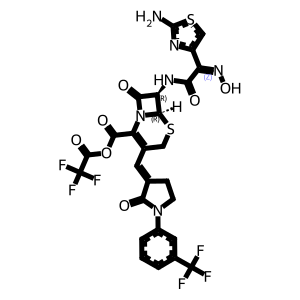 Nc1nc(/C(=N/O)C(=O)N[C@@H]2C(=O)N3C(C(=O)OC(=O)C(F)(F)F)=C(C=C4CCN(c5cccc(C(F)(F)F)c5)C4=O)CS[C@H]23)cs1